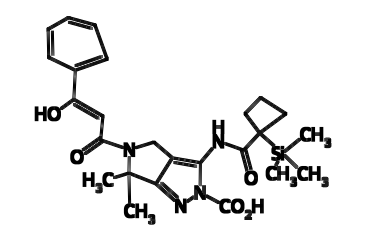 CC1(C)c2nn(C(=O)O)c(NC(=O)C3([Si](C)(C)C)CCC3)c2CN1C(=O)C=C(O)c1ccccc1